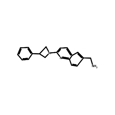 NCc1ccc2nc(N3CC(c4ccccc4)C3)ccc2c1